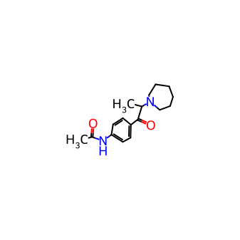 CC(=O)Nc1ccc(C(=O)C(C)N2CCCCCC2)cc1